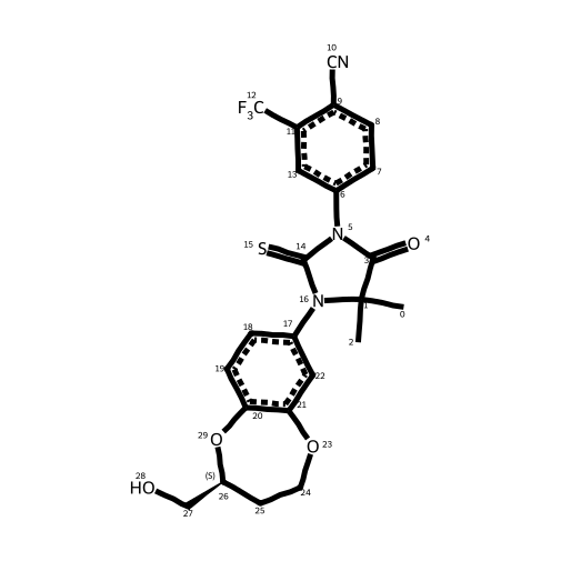 CC1(C)C(=O)N(c2ccc(C#N)c(C(F)(F)F)c2)C(=S)N1c1ccc2c(c1)OCC[C@@H](CO)O2